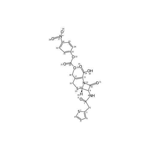 O=C(Cc1cccs1)NC1C(=O)N2C(C(=O)O)=C(COC(=O)Oc3ccc([N+](=O)[O-])cc3)CS[C@@H]12